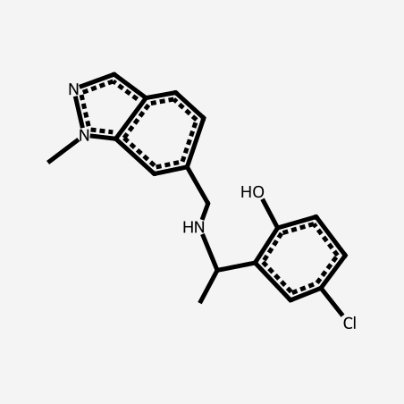 CC(NCc1ccc2cnn(C)c2c1)c1cc(Cl)ccc1O